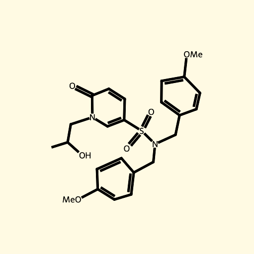 COc1ccc(CN(Cc2ccc(OC)cc2)S(=O)(=O)c2ccc(=O)n(CC(C)O)c2)cc1